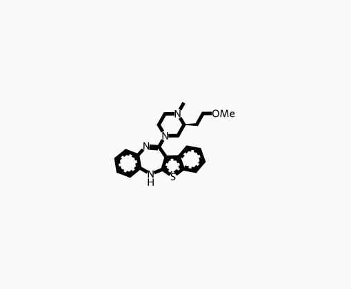 COCC[C@H]1CN(C2=Nc3ccccc3Nc3sc4ccccc4c32)CCN1C